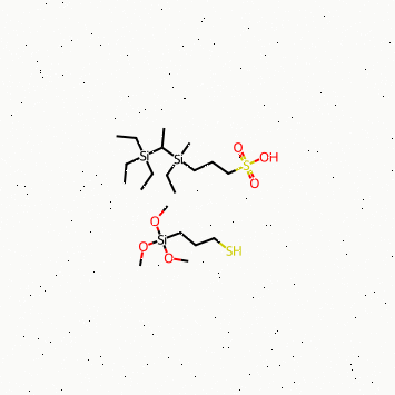 CC[Si](C)(CCCS(=O)(=O)O)C(C)[Si](CC)(CC)CC.CO[Si](CCCS)(OC)OC